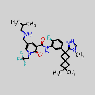 CC(C)CNCc1cc(C(=O)Nc2cc(C3(c4nncn4C)CC4(CC(C)(C)C4)C3)ccc2F)c(=O)n(CC(F)(F)F)c1